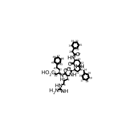 N=C(N)NCCC[C@H](NC(=O)[C@@H]1C[C@@H](Cc2ccccc2)[C@H]2CC[C@H](NC(=O)Cc3ccccc3)C(=O)N21)C(=O)N[C@H](CCc1ccccc1)CC(=O)O